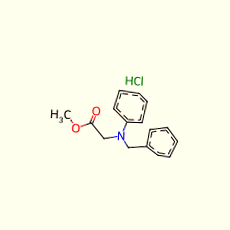 COC(=O)CN(Cc1ccccc1)c1ccccc1.Cl